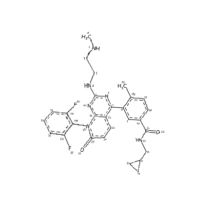 CNCCNc1nc(-c2cc(C(=O)NCC3CC3)ccc2C)c2ccc(=O)n(-c3c(F)cccc3F)c2n1